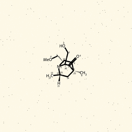 COC[C@]1(CO)C(=O)[C@@]2(C)CCN1[C@@H](C)C2